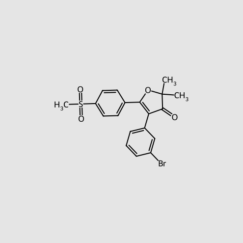 CC1(C)OC(c2ccc(S(C)(=O)=O)cc2)=C(c2cccc(Br)c2)C1=O